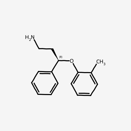 Cc1ccccc1O[C@H](CCN)c1ccccc1